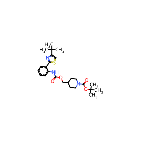 CC(C)(C)OC(=O)N1CCC(COC(=O)Nc2ccccc2-c2nc(C(C)(C)C)cs2)CC1